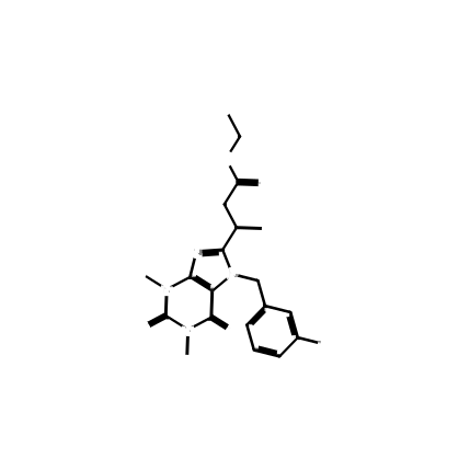 CCOC(=O)CC(C)c1nc2c(c(=O)n(C)c(=O)n2C)n1Cc1cccc(Br)c1